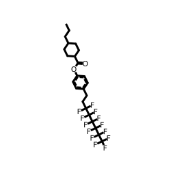 CCCC1CCC(C(=O)Oc2ccc(CCC(F)(F)C(F)(F)C(F)(F)C(F)(F)C(F)(F)C(F)(F)F)cc2)CC1